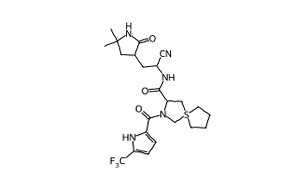 CC1(C)CC(CC(C#N)NC(=O)C2CS3(CCCC3)CN2C(=O)c2ccc(C(F)(F)F)[nH]2)C(=O)N1